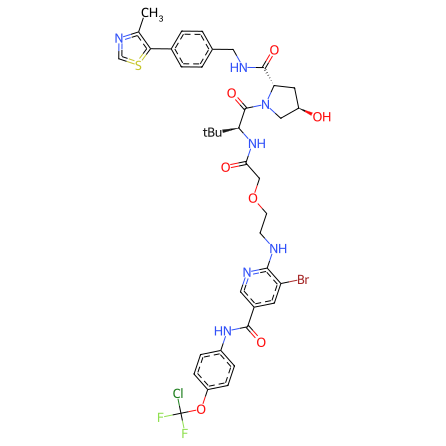 Cc1ncsc1-c1ccc(CNC(=O)[C@@H]2C[C@@H](O)CN2C(=O)[C@@H](NC(=O)COCCNc2ncc(C(=O)Nc3ccc(OC(F)(F)Cl)cc3)cc2Br)C(C)(C)C)cc1